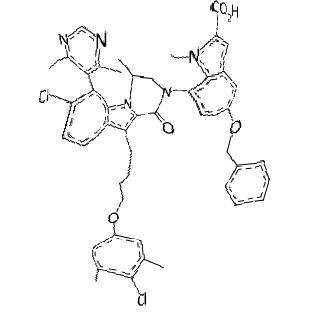 Cc1cc(OCCCc2c3n(c4c(-c5c(C)ncnc5C)c(Cl)ccc24)C(C)CN(c2cc(OCc4ccccc4)cc4cc(C(=O)O)n(C)c24)C3=O)cc(C)c1Cl